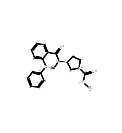 CCC(C)N(C(=O)c1ccccc1Oc1ccccc1)[C@H]1CCN(C(=O)OC(C)(C)C)C1